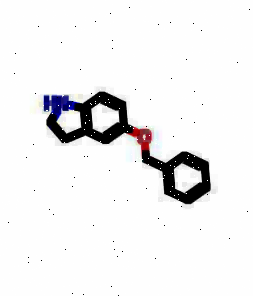 c1ccc(COc2ccc3c(c2)CCN3)cc1